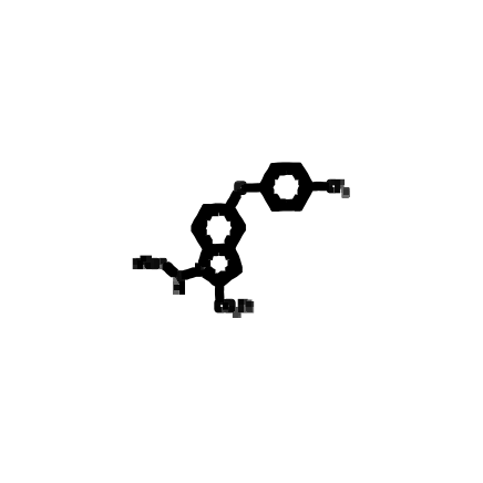 CCCCCCCCCNn1c(C(=O)OCC)cc2cc(Oc3ccc(C(F)(F)F)cc3)ccc21